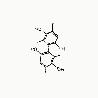 Cc1cc(O)c(-c2c(O)cc(C)c(O)c2C)c(C)c1O